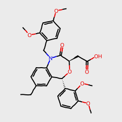 CCc1ccc2c(c1)[C@@H](c1cccc(OC)c1OC)O[C@H](CC(=O)O)C(=O)N2Cc1ccc(OC)cc1OC